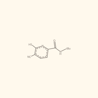 CC(C)(C)NC(=O)c1ccc(C#N)c(S)n1